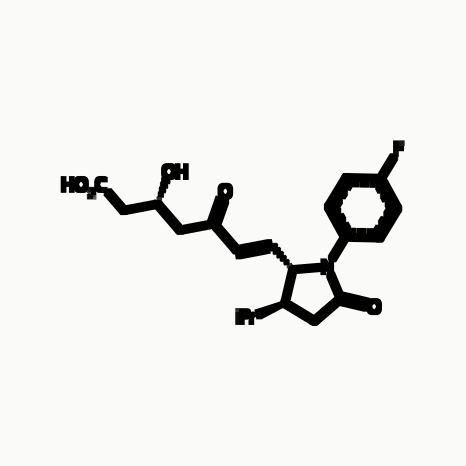 CC(C)[C@@H]1CC(=O)N(c2ccc(F)cc2)[C@H]1C=CC(=O)C[C@@H](O)CC(=O)O